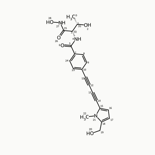 C[C@H](O)[C@H](NC(=O)c1ccc(C#CC#Cc2ccc(CO)n2C)cc1)C(=O)NO